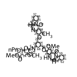 CCCOCCOCCN(CC(C)(C)SCCCC(=O)OC)c1cc(COc2cc3c(cc2C)C(=O)N2c4ccccc4C[C@H]2C=N3)cc(COc2cc3c(cc2OC)C(=O)N2c4ccccc4C[C@H]2CN3)c1